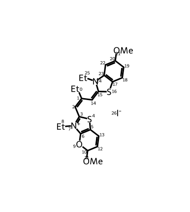 CCC(=Cc1sc2c([n+]1CC)OC(OC)C=C2)C=C1Sc2ccc(OC)cc2N1CC.[I-]